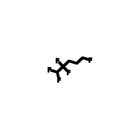 FCCCC(F)(F)C(F)F